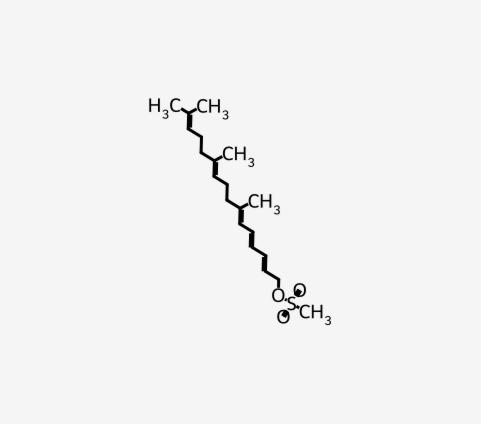 CC(C)=CCC/C(C)=C/CC/C(C)=C/C=C/C=C/COS(C)(=O)=O